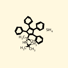 CC(C)(C)[NH][Ti]([CH3])([CH3])[C]1=C(c2ccccc2)C(c2ccccc2)=C(c2ccccc2)C1c1ccccc1.[SiH4]